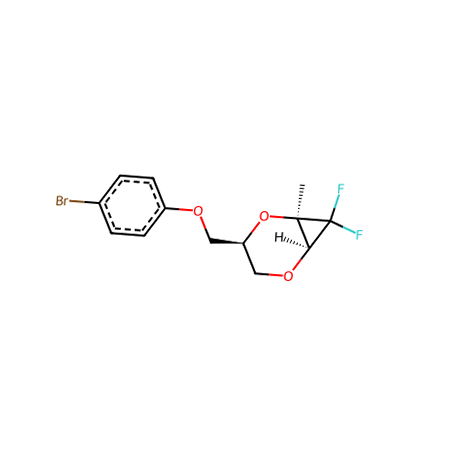 C[C@@]12O[C@H](COc3ccc(Br)cc3)CO[C@@H]1C2(F)F